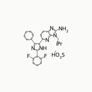 CC(C)Cn1c(N)nc2ccc(-c3[nH]c(-c4c(F)cccc4F)nc3-c3ccccc3)nc21.CS(=O)(=O)O